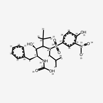 CC(C)CN(C([C@H](O)[C@H](Cc1ccccc1)NC(=O)O)C(C)(C)C)S(=O)(=O)c1ccc(O)c([N+](=O)[O-])c1